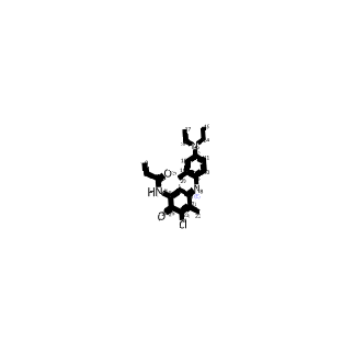 CCC(=O)NC1=C/C(=N\c2ccc(N(CC)CC)cc2C)C(C)=C(Cl)C1=O